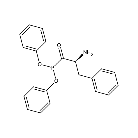 N[C@@H](Cc1ccccc1)C(=O)P(Oc1ccccc1)Oc1ccccc1